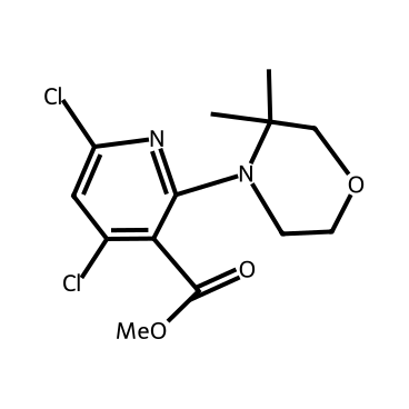 COC(=O)c1c(Cl)cc(Cl)nc1N1CCOCC1(C)C